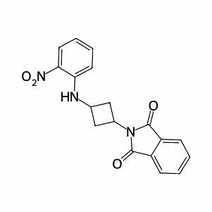 O=C1c2ccccc2C(=O)N1C1CC(Nc2ccccc2[N+](=O)[O-])C1